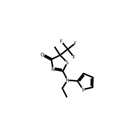 CCN(C1=NC(=O)C(C)(C(F)(F)F)S1)c1cccs1